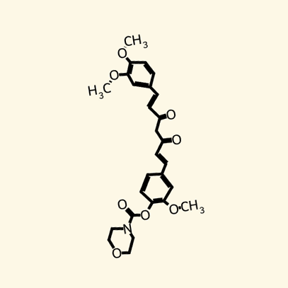 COc1ccc(C=CC(=O)CC(=O)C=Cc2ccc(OC(=O)N3CCOCC3)c(OC)c2)cc1OC